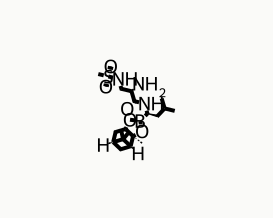 CC(C)C[C@H](NC(=O)[C@@H](N)CNS(C)(=O)=O)B1OC2C[C@@H]3C[C@@H](C3(C)C)[C@]2(C)O1